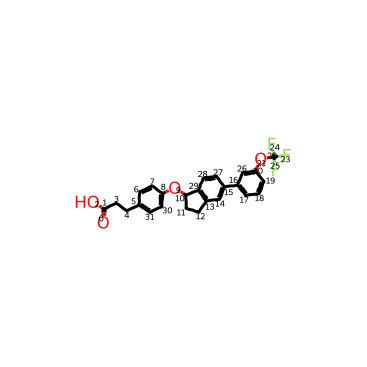 O=C(O)CCc1ccc(OC2CCc3cc(-c4cccc(OC(F)(F)F)c4)ccc32)cc1